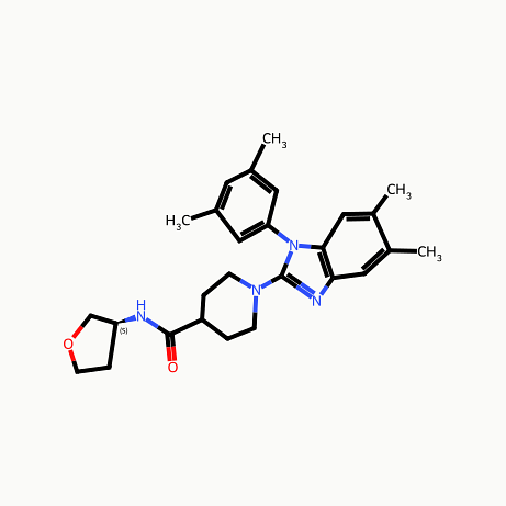 Cc1cc(C)cc(-n2c(N3CCC(C(=O)N[C@H]4CCOC4)CC3)nc3cc(C)c(C)cc32)c1